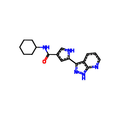 O=C(NC1CCCCC1)c1c[nH]c(-c2n[nH]c3ncccc23)c1